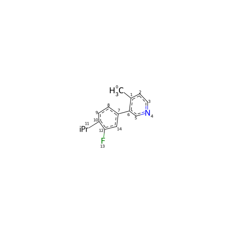 Cc1ccncc1-c1ccc(C(C)C)c(F)c1